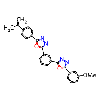 C=C(C)c1ccc(-c2nnc(-c3cccc(-c4nnc(-c5cccc(OC)c5)o4)c3)o2)cc1